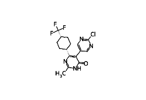 Cc1nc([C@H]2CC[C@@H](C(F)(F)F)CC2)c(-c2cnc(Cl)nc2)c(=O)[nH]1